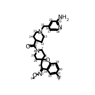 CO/N=C1\CC2(CCN(C(=O)C3CCN(Cc4ccnc(N)c4)CC3)CC2)Oc2ccc(F)cc21